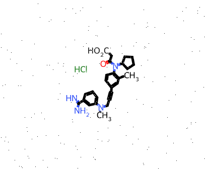 Cc1cc(C#CCN(C)c2cccc(C(=N)N)c2)ccc1N(C(=O)CC(=O)O)C1CCCC1.Cl